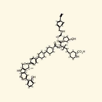 C#Cc1ccc(CNC(=O)[C@@H]2C[C@@H](O)CN2C(=O)[C@H](NC(=O)N2CCC(N3CCC(c4cnc(N5CCc6[nH]c7nnc(-c8ccccc8O)cc7c6[C@H]5C)nc4)CC3)CC2)C(C)(C)CCN2CCN[C@@H](C(=O)O)C2)cc1